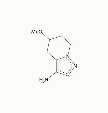 COC1CCn2ncc(N)c2C1